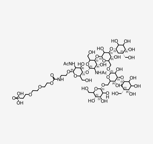 CC(=O)NC1[C@H](OCCNC(=O)OCCOCCOCCP(=O)(O)O)OC(CO)[C@@H](O[C@@H]2OC(CO)[C@@H](O[C@@H]3OC(CO[C@H]4OC(CO[C@H]5OC(CO)[C@@H](O)[C@H](O)C5O)[C@@H](O)[C@H](O[C@H]5C[C@@H](CO)[C@@H](O)C(O)C5O)C4O)[C@@H](O)[C@H](O[C@H]4C[C@@H](CO)[C@@H](O)C(O)C4O)C3O)[C@H](O)C2NC(C)=O)[C@@H]1O